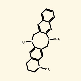 CN1CCCc2cc3c(cc21)CN(C)c1nc2ccccc2nc1CN3C